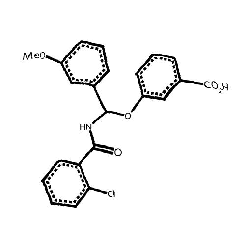 COc1cccc(C(NC(=O)c2ccccc2Cl)Oc2cccc(C(=O)O)c2)c1